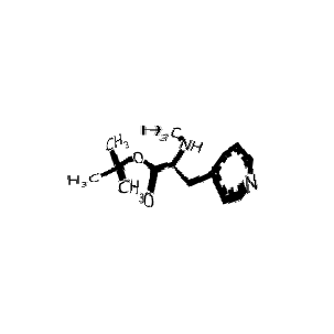 CN[C@@H](Cc1cccnc1)C(=O)OC(C)(C)C